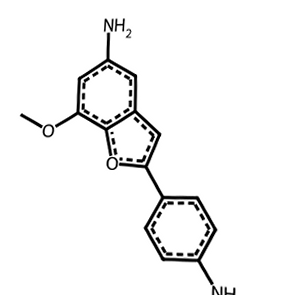 COc1cc(N)cc2cc(-c3ccc(N)cc3)oc12